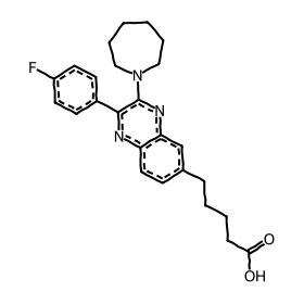 O=C(O)CCCCc1ccc2nc(-c3ccc(F)cc3)c(N3CCCCCC3)nc2c1